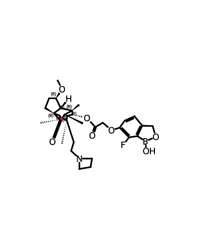 CO[C@@H]1CC[C@@]23CC[C@@H](C)[C@@](C)([C@H](OC(=O)COc4ccc5c(c4F)B(O)OC5)C[C@@](C)(CCN4CCC4)C(=O)[C@@H]2C)[C@@H]13